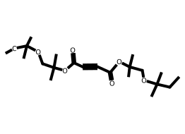 CCC(C)(C)OCC(C)(C)OC(=O)C#CC(=O)OC(C)(C)COC(C)(C)CC